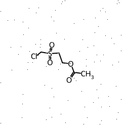 CC(=O)OCCS(=O)(=O)CCl